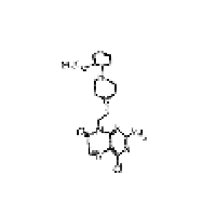 COc1ccccc1N1CCN(CCn2c(=O)cnc3c(Cl)nc(N)nc32)CC1